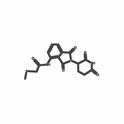 CSCC(=O)Nc1cccc2c1C(=O)N(C1CCC(=O)NC1=O)C2=O